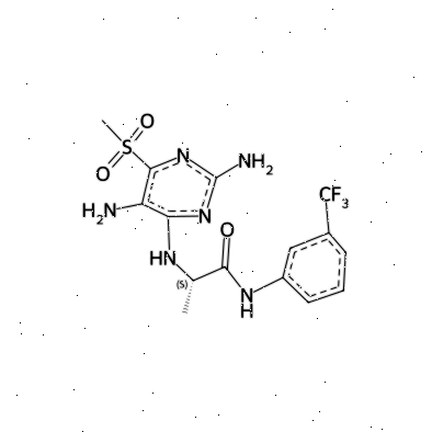 C[C@H](Nc1nc(N)nc(S(C)(=O)=O)c1N)C(=O)Nc1cccc(C(F)(F)F)c1